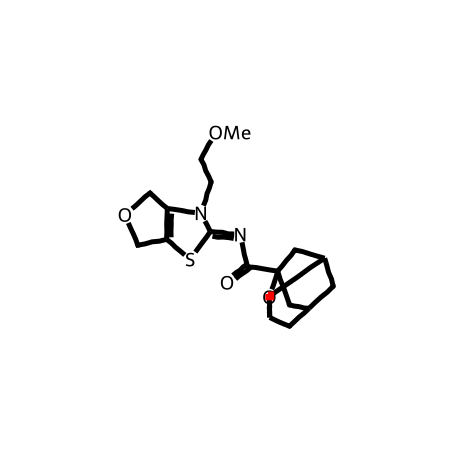 COCCn1c2c(sc1=NC(=O)C13CC4CC(CC(C4)O1)C3)COC2